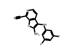 N#Cc1nccc2c(Nc3cc(F)cc(F)c3)c(N)oc12